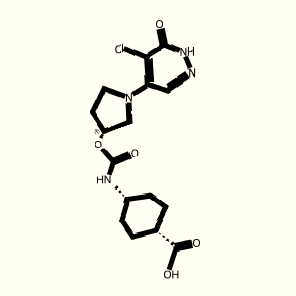 O=C(N[C@H]1CC[C@@H](C(=O)O)CC1)O[C@@H]1CCN(c2cn[nH]c(=O)c2Cl)C1